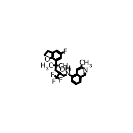 Cc1cc2c(NCC(O)(CC(C)(C)c3cc(F)cc4c3OCC4)C(F)(F)F)cccc2cn1